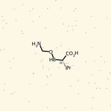 CC(C)[C@H](BOCN)C(=O)O